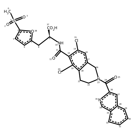 CS(=O)(=O)c1ccc(C[C@H](NC(=O)c2c(Cl)cc3c(c2Cl)CCN(C(=O)c2cc4ccccc4cn2)C3)C(=O)O)o1